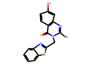 CC(C)c1nc2cc(O)ccc2c(=O)n1Cc1nc2ccccc2s1